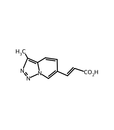 Cc1nnn2cc(/C=C/C(=O)O)ccc12